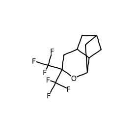 FC(F)(F)C1(C(F)(F)F)CC2CC3CC(O1)C2C3